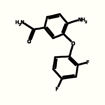 NC(=O)c1ccc(N)c(Oc2ccc(F)cc2F)c1